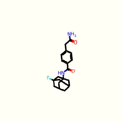 NC(=O)Cc1ccc(C(=O)NC23CC4CC(CC(F)(C4)C2)C3)cc1